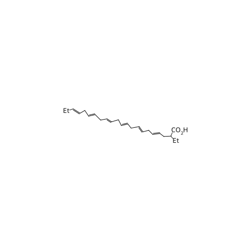 CC/C=C/C/C=C/C/C=C/C/C=C/C/C=C/C/C=C/CC(CC)C(=O)O